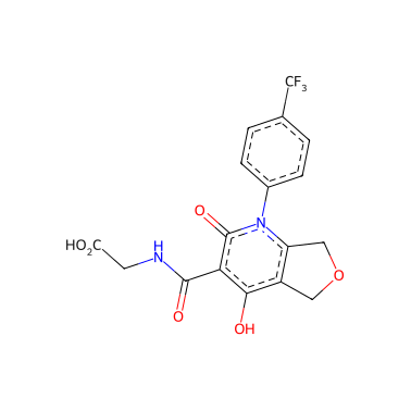 O=C(O)CNC(=O)c1c(O)c2c(n(-c3ccc(C(F)(F)F)cc3)c1=O)COC2